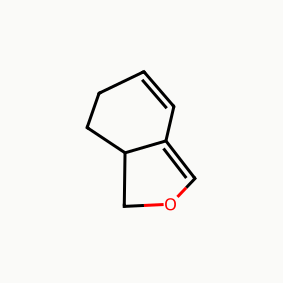 C1=CC2=COCC2CC1